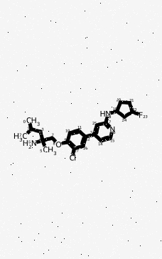 CC(C)CC(C)(N)COc1ccc(-c2ccnc(NC3CCC(F)C3)c2)cc1Cl